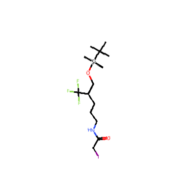 CC(C)(C)[Si](C)(C)OCC(CCCNC(=O)CI)C(F)(F)F